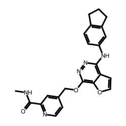 CNC(=O)c1cc(COc2nnc(Nc3ccc4c(c3)CCC4)c3ccoc23)ccn1